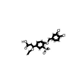 CCOC(CC(=O)O)c1ccc(OCc2ccc(Cl)c(Cl)c2)c([N+](=O)[O-])c1